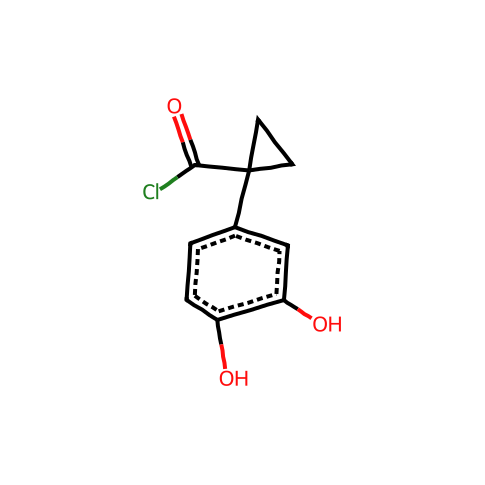 O=C(Cl)C1(c2ccc(O)c(O)c2)CC1